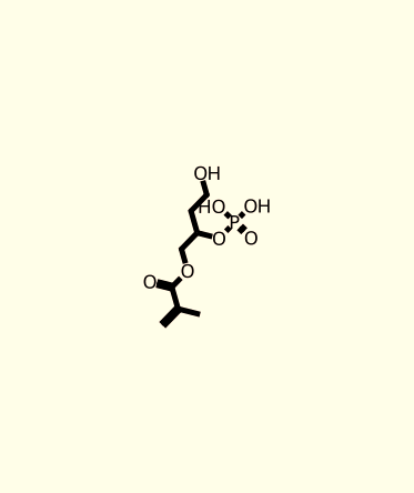 C=C(C)C(=O)OCC(CCO)OP(=O)(O)O